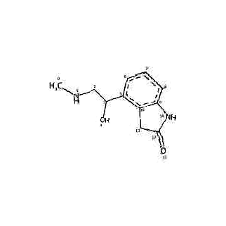 CNCC(O)c1cccc2c1CC(=O)N2